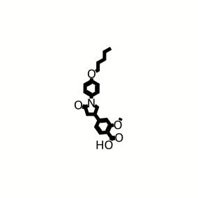 CCCCCOc1ccc(N2CC(c3ccc(C(=O)O)c(OC)c3)CC2=O)cc1